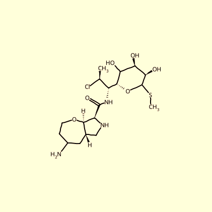 CSC1O[C@H]([C@H](NC(=O)[C@H]2NC[C@@H]3CC(N)CCO[C@H]32)[C@H](C)Cl)C(O)[C@@H](O)[C@H]1O